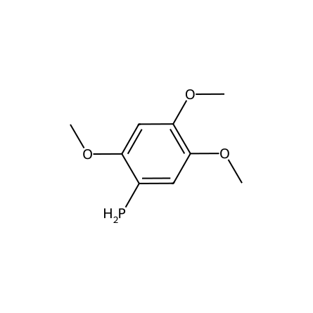 COc1cc(OC)c(OC)cc1P